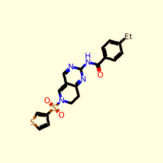 CCc1ccc(C(=O)NC2N=CC3=CN(S(=O)(=O)c4ccsc4)CCC3=N2)cc1